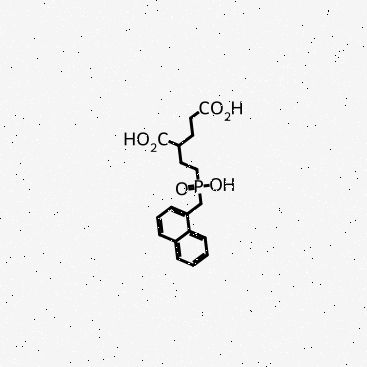 O=C(O)CCC(CCP(=O)(O)Cc1cccc2ccccc12)C(=O)O